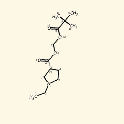 CCN1CC[C@@H](C(=O)OCOC(=O)C(C)(C)C)C1